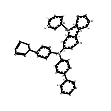 C1=CCC(c2ccc(N(c3ccc(-c4ccccc4)cc3)c3ccc4c5ccccc5n(-c5cccnc5)c4c3)cc2)C=C1